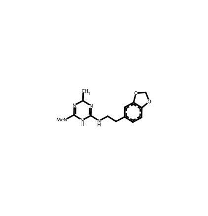 CNC1=NC(C)N=C(NCCc2ccc3c(c2)OCO3)N1